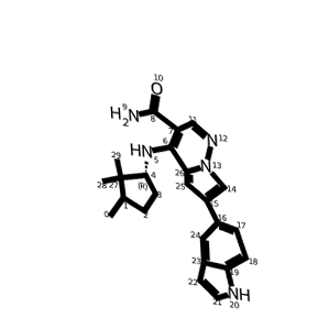 CC1CC[C@@H](Nc2c(C(N)=O)cnn3cc(-c4ccc5[nH]ccc5c4)cc23)C1(C)C